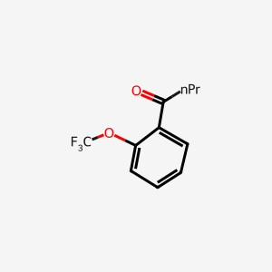 [CH2]CCC(=O)c1ccccc1OC(F)(F)F